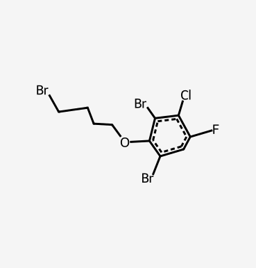 Fc1cc(Br)c(OCCCCBr)c(Br)c1Cl